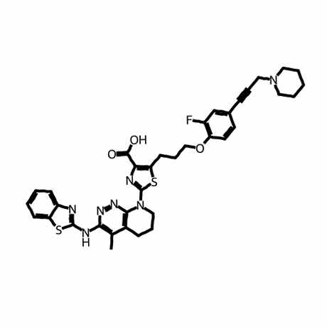 Cc1c(Nc2nc3ccccc3s2)nnc2c1CCCN2c1nc(C(=O)O)c(CCCOc2ccc(C#CCN3CCCCC3)cc2F)s1